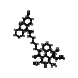 COC(=O)C1=C(C)NC(C)=C(C(=O)OCCCCCNc2c3c(nc4cc(Cl)ccc24)CCCC3)C1c1ccccc1[N+](=O)[O-]